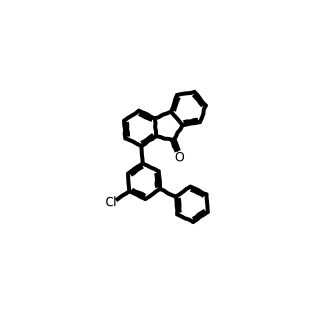 O=C1c2ccccc2-c2cccc(-c3cc(Cl)cc(-c4ccccc4)c3)c21